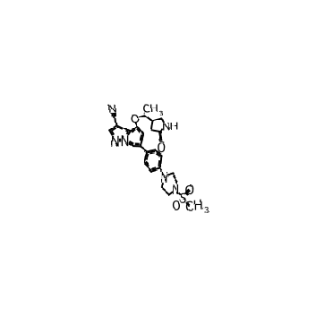 C[C@@H](Oc1cc(-c2ccc(N3CCN(S(C)(=O)=O)CC3)cc2)cn2ncc(C#N)c12)C1CNC(=O)C1